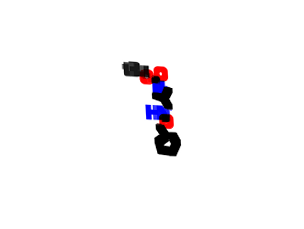 CC(C)(C)OC(=O)N1CC(CNOCc2ccccc2)C1